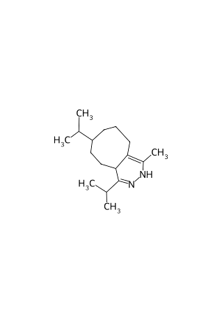 CC1=C2CCCC(C(C)C)CCC2C(C(C)C)=NN1